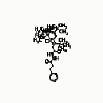 CC(C)(C)C1=CC(C(CC(=O)NNC(=O)CCc2ccccc2)C(C)(C)C)=CC(C(C)(C)C)(C(C)(C)C)C1(O)O